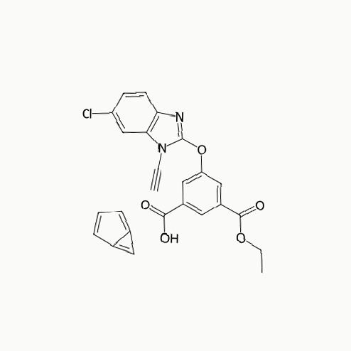 C#Cn1c(Oc2cc(C(=O)O)cc(C(=O)OCC)c2)nc2ccc(Cl)cc21.c1cc2cc-2c1